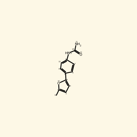 Cc1ccc(-c2ccc(NC(N)=O)cc2)o1